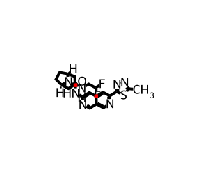 Cc1nnc(-c2cc3cc(NC(=O)N4[C@@H]5CC[C@H]4C[C@@H](NCC(F)F)C5)ncc3cn2)s1